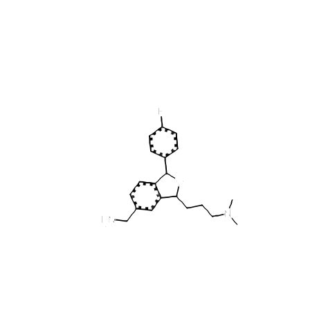 CN(C)CCCC1OC(c2ccc(F)cc2)c2ccc(CN)cc21